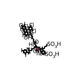 CCCCC(C(=O)NCCNC(=O)CCCCCOC(=O)c1c(Cl)cc(Cl)c(Cl)c1-c1c2cc(I)c(=O)c(I)c-2oc2c(I)c(O)c(I)cc12)N1\C(=C/C=C/C=C/C=C/C2=[N+](C)c3cc(I)cc(I)c3C2(C)C)C(C)(CCCCS(=O)(=O)O)c2cc(S(=O)(=O)O)ccc21